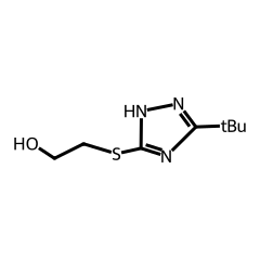 CC(C)(C)c1n[nH]c(SCCO)n1